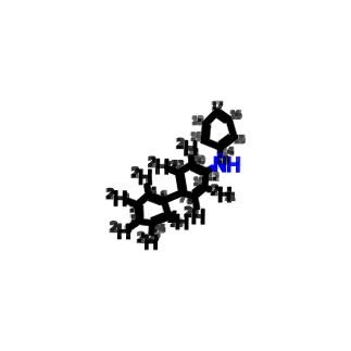 [2H]c1c([2H])c([2H])c(-c2c([2H])c([2H])c(Nc3ccccc3)c([2H])c2[2H])c([2H])c1[2H]